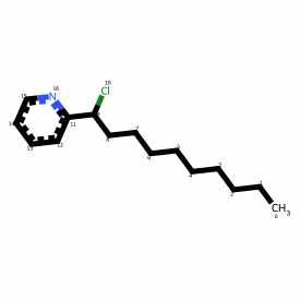 CCCCCCCCCC(Cl)c1ccccn1